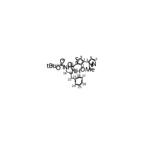 COc1c(-c2ccnn2C)csc1C(=O)NC(CNC(=O)OC(C)(C)C)Cc1ccccc1